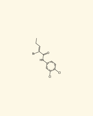 CC/C=C(\Br)C(=O)Nc1ccc(Cl)c(Cl)c1